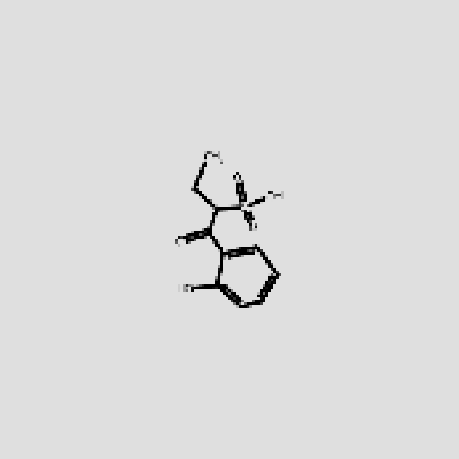 CCC(C(=O)c1ccccc1O)S(=O)(=O)O